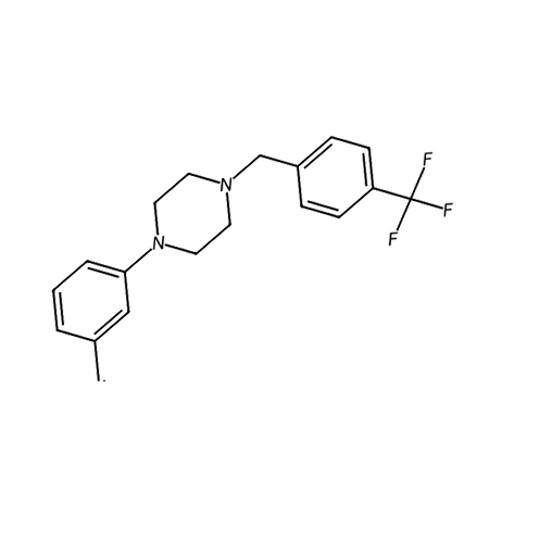 [CH2]c1cccc(N2CCN(Cc3ccc(C(F)(F)F)cc3)CC2)c1